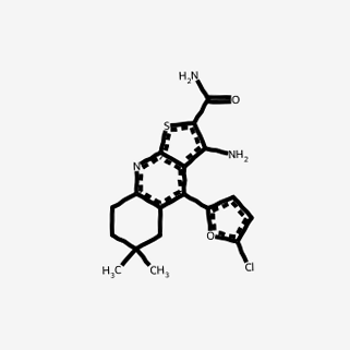 CC1(C)CCc2nc3sc(C(N)=O)c(N)c3c(-c3ccc(Cl)o3)c2C1